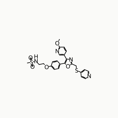 COc1ccc(-c2nc(CSc3ccncc3)oc2-c2ccc(OCCNS(C)(=O)=O)cc2)cn1